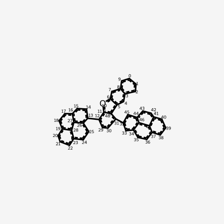 c1ccc2cc3c(cc2c1)oc1c(-c2ccc4ccc5cccc6ccc2c4c56)ccc(-c2cc4ccc5cccc6ccc(c2)c4c56)c13